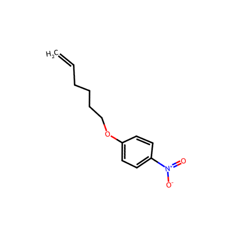 C=CCCCCOc1ccc([N+](=O)[O-])cc1